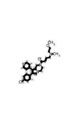 COCCN(C)C/C=C/C(=O)N1CCn2nc(-c3ccc(Cl)cc3)c(-c3ccncc3)c2C1